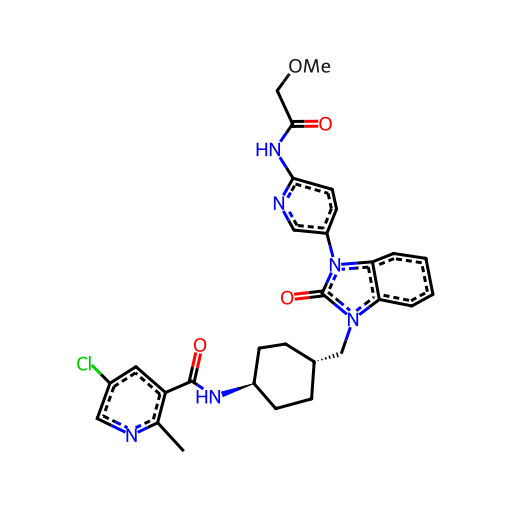 COCC(=O)Nc1ccc(-n2c(=O)n(C[C@H]3CC[C@H](NC(=O)c4cc(Cl)cnc4C)CC3)c3ccccc32)cn1